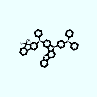 CC1(C)c2ccccc2-c2ccc(N(c3ccccc3)c3ccc4c(c3)c3c5oc6ccccc6c5ccc3n4-c3ccc(N(c4ccccc4)c4ccccc4)cc3)cc21